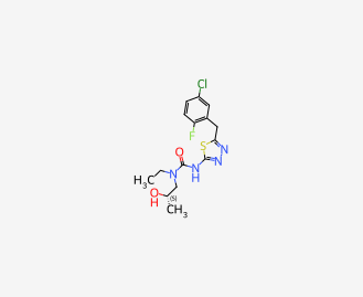 CCN(C[C@H](C)O)C(=O)Nc1nnc(Cc2cc(Cl)ccc2F)s1